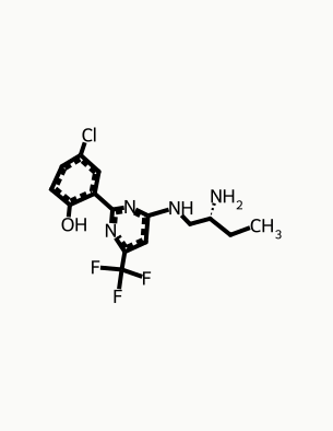 CC[C@@H](N)CNc1cc(C(F)(F)F)nc(-c2cc(Cl)ccc2O)n1